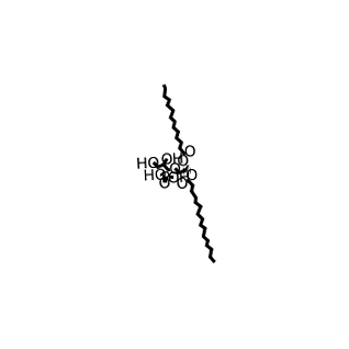 CCCCCCCCCCCCCCCC(=O)O[C@H](COC(=O)CCCCCCCCCCCCC)COC(C(O)CO)P(=O)(O)O